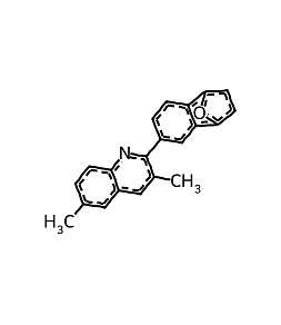 Cc1ccc2nc(-c3ccc4c5ccc(o5)c4c3)c(C)cc2c1